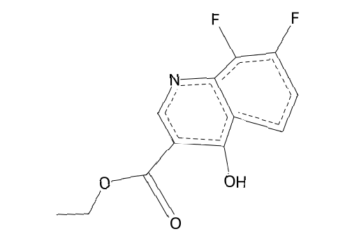 CCOC(=O)c1cnc2c(F)c(F)ccc2c1O